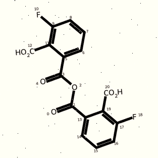 O=C(OC(=O)c1cccc(F)c1C(=O)O)c1cccc(F)c1C(=O)O